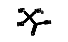 CC(C)(C)C(=O)C(N)(O)C#N